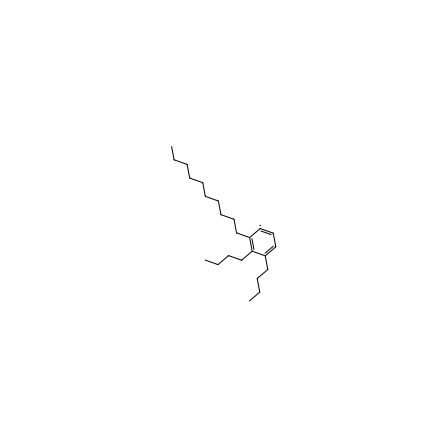 CCCCCCCCCCc1[c]ccc(CCCC)c1CCCC